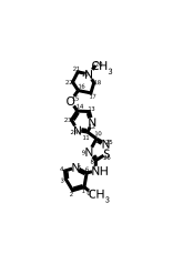 Cc1cccnc1Nc1nc(-c2ncc(OC3CCN(C)CC3)cn2)ns1